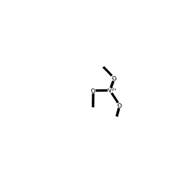 C[O][V+2]([O]C)[O]C